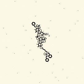 CCC1O[C@H](OCCCCCN(Cc2ccccc2)C(=O)OCc2ccccc2)C(C)[C@@H](C)[C@@H]1O[C@@H]1OC(C(=O)OC)[C@@H](O[C@H]2OC(CC)[C@@H](O[C@@H]3OC(C)[C@@H](C)[C@@H](OCc4ccccc4)C3OC(C)=O)[C@H](C)C2N)[C@H](C)C1OC(C)=O